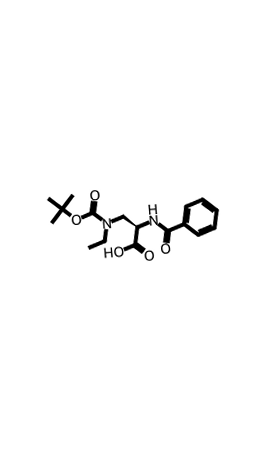 CCN(C[C@@H](NC(=O)c1ccccc1)C(=O)O)C(=O)OC(C)(C)C